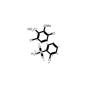 COc1c(Cl)ccc(Cl)c1C(=O)O.NS(=O)(=O)c1ccccc1Cl